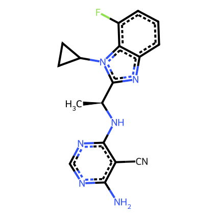 C[C@H](Nc1ncnc(N)c1C#N)c1nc2cccc(F)c2n1C1CC1